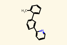 Cc1ccccc1-c1cccc(-c2ccccn2)c1